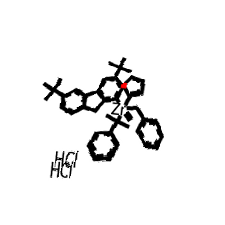 Cl.Cl.[CH2]=[Zr]([CH2]c1ccccc1)([C]1=CC=CC1)([c]1cc(C(C)(C)C)cc2c1Cc1ccc(C(C)(C)C)cc1-2)[C](C)(C)c1ccccc1